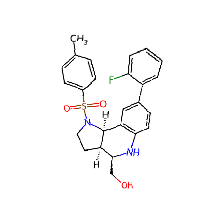 Cc1ccc(S(=O)(=O)N2CC[C@@H]3[C@H](CO)Nc4ccc(-c5ccccc5F)cc4[C@@H]32)cc1